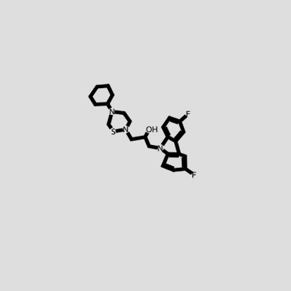 OC(CN1CCN(C2CCCCC2)CS1)Cn1c2ccc(F)cc2c2cc(F)ccc21